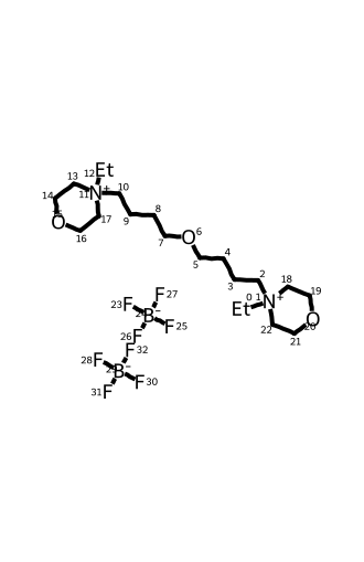 CC[N+]1(CCCCOCCCC[N+]2(CC)CCOCC2)CCOCC1.F[B-](F)(F)F.F[B-](F)(F)F